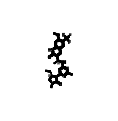 CC[C@H]1CN(C)C(=O)N1c1nc(C)nc(N[C@@H](C)c2cc3cc(C(F)(F)F)c(OC)cc3[nH]c2=O)n1